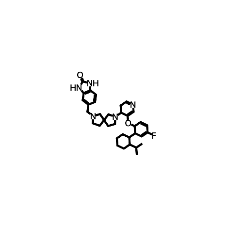 CC(C)C1CCCCC1C1C=C(F)C=CC1OC1=CN=CCC1N1CCC2(CCN(Cc3ccc4[nH]c(=O)[nH]c4c3)C2)C1